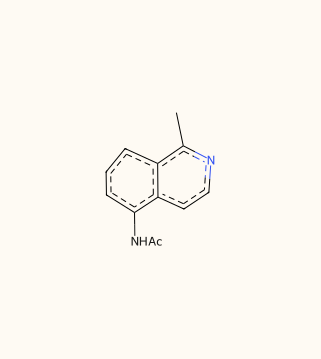 CC(=O)Nc1cccc2c(C)nccc12